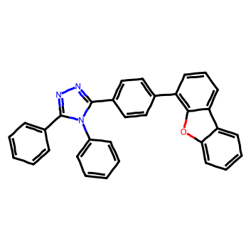 c1ccc(-c2nnc(-c3ccc(-c4cccc5c4oc4ccccc45)cc3)n2-c2ccccc2)cc1